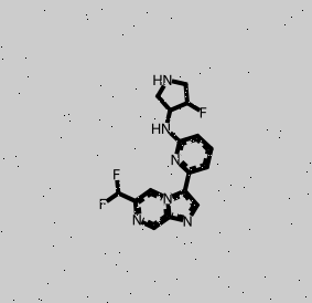 FC(F)c1cn2c(-c3cccc(NC4CNCC4F)n3)cnc2cn1